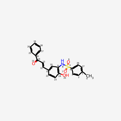 Cc1ccc(S(=O)(=O)Nc2cc(C=CC(=O)c3ccccc3)ccc2O)cc1